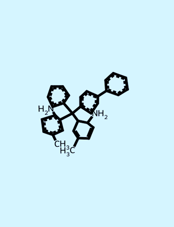 CC1=CC(C(c2ccccc2)(c2ccc(-c3ccccc3)cc2)c2cc(C)ccc2N)C(N)C=C1